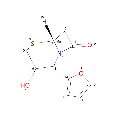 O=C1C[C@H]2SCC(O)CN12.c1ccoc1